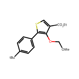 CCOC(=O)c1csc(-c2ccc(C(C)(C)C)cc2)c1OCOC